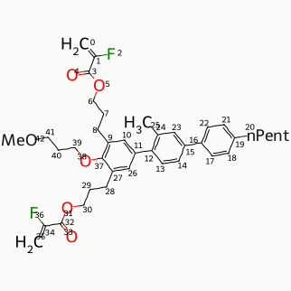 C=C(F)C(=O)OCCCc1cc(-c2ccc(-c3ccc(CCCCC)cc3)cc2C)cc(CCCOC(=O)C(=C)F)c1OCCCOC